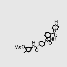 COc1cc(NC(=O)[C@H]2CC[C@@H](n3c(=O)[nH]c4c(C(=O)N5CCNCC5)cccc43)CC2)ccc1C